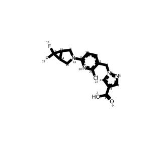 O=C(O)c1cnn(Cc2ccc(N3CC4C(C3)C4(F)F)nc2Cl)c1